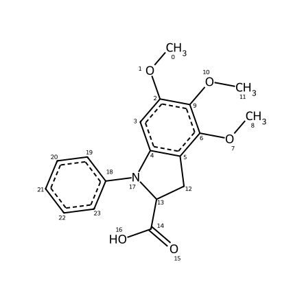 COc1cc2c(c(OC)c1OC)CC(C(=O)O)N2c1ccccc1